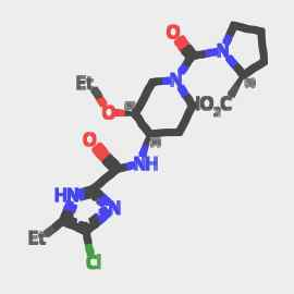 CCO[C@H]1CN(C(=O)N2CCC[C@H]2C(=O)O)CC[C@H]1NC(=O)c1nc(Cl)c(CC)[nH]1